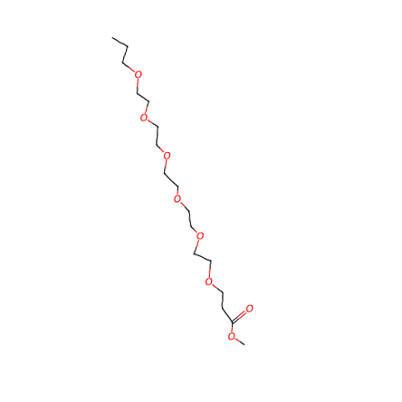 CCCOCCOCCOCCOCCOCCOCCC(=O)OC